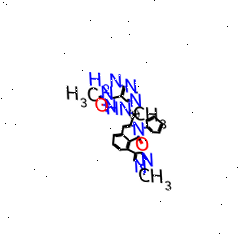 Cc1nc(-c2c(N)ncnc2N[C@@H](C)c2cc3cccc(-c4cnn(C)c4)c3c(=O)n2-c2ccccc2)no1